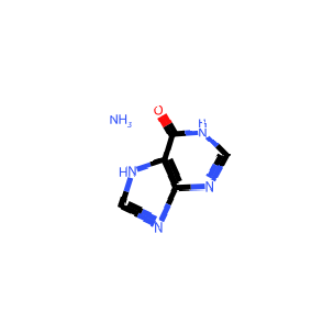 N.O=c1[nH]cnc2nc[nH]c12